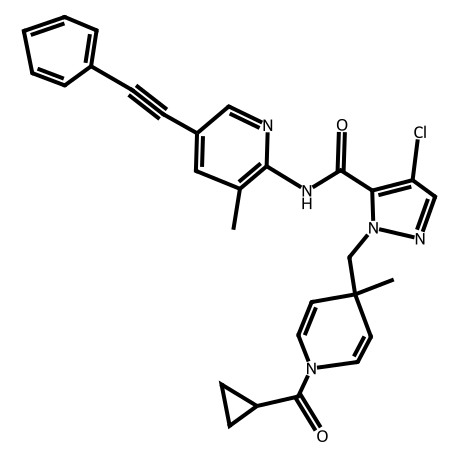 Cc1cc(C#Cc2ccccc2)cnc1NC(=O)c1c(Cl)cnn1CC1(C)C=CN(C(=O)C2CC2)C=C1